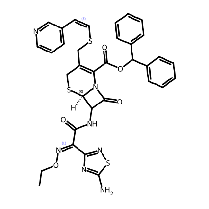 CCO/N=C(/C(=O)NC1C(=O)N2C(C(=O)OC(c3ccccc3)c3ccccc3)=C(CS/C=C\c3cccnc3)CS[C@H]12)c1nsc(N)n1